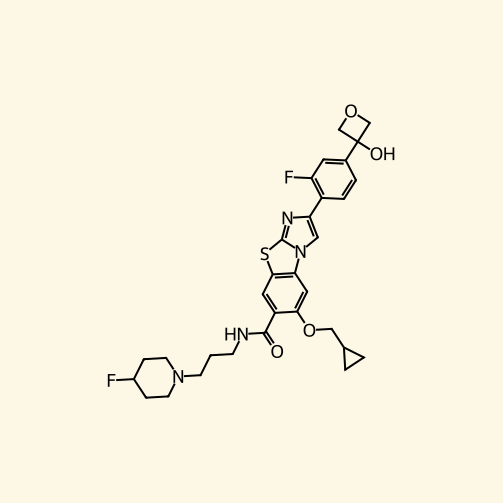 O=C(NCCCN1CCC(F)CC1)c1cc2sc3nc(-c4ccc(C5(O)COC5)cc4F)cn3c2cc1OCC1CC1